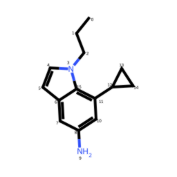 CCCn1ccc2cc(N)cc(C3CC3)c21